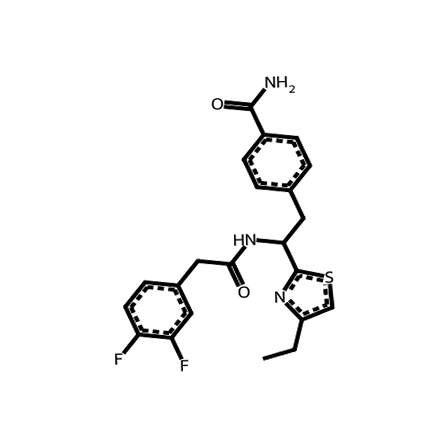 CCc1csc(C(Cc2ccc(C(N)=O)cc2)NC(=O)Cc2ccc(F)c(F)c2)n1